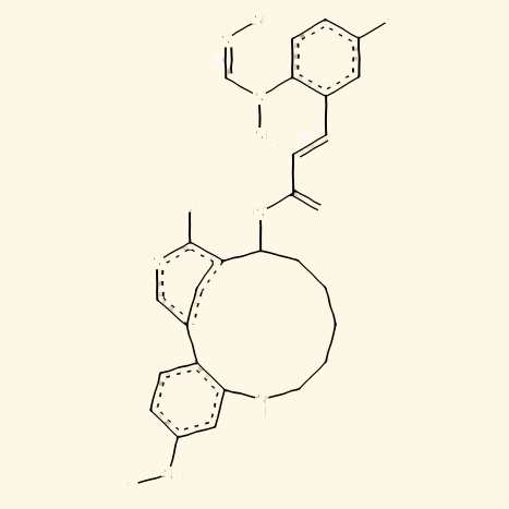 CNc1ccc2c(c1)NCCCCCC(NC(=O)/C=C/c1cc(Cl)ccc1N(N)/C=N\N)c1cc-2cnc1Cl